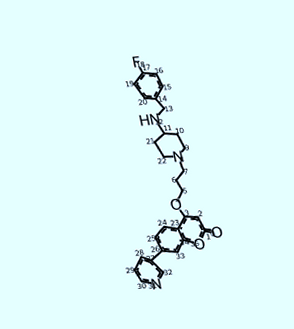 O=c1cc(OCCCN2CCC(NCc3ccc(F)cc3)CC2)c2ccc(-c3cccnc3)cc2o1